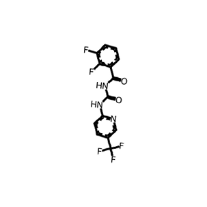 O=C(NC(=O)c1cccc(F)c1F)Nc1ccc(C(F)(F)F)cn1